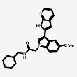 COc1ccc2c(c1)c(-c1cc3cccnc3[nH]1)cn2CC(=O)NCC1CCCCC1